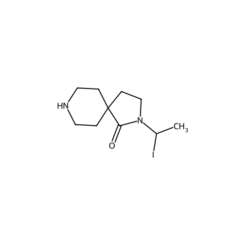 CC(I)N1CCC2(CCNCC2)C1=O